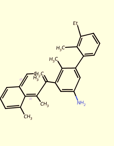 C=C(/C(C)=c1/c(C)ccc/c1=C/C)c1cc(N)cc(-c2cccc(CC)c2C)c1C